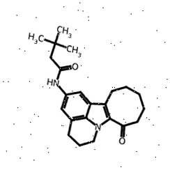 CC(C)(C)CC(=O)Nc1cc2c3c(c1)c1c(n3CCC2)C(=O)CCCCC1